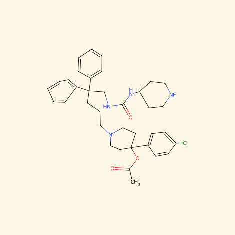 CC(=O)OC1(c2ccc(Cl)cc2)CCN(CCCC(CNC(=O)NC2CCNCC2)(c2ccccc2)c2ccccc2)CC1